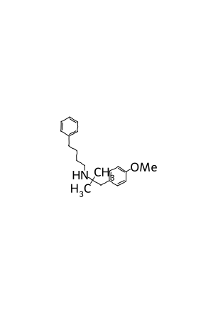 COc1ccc(CC(C)(C)NCCCCc2ccccc2)cc1